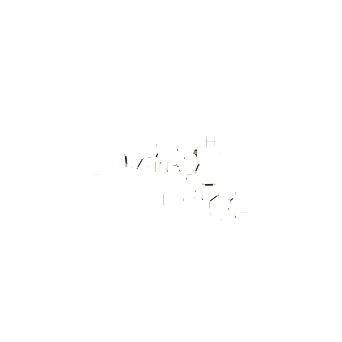 C=C/C=C(\N=C(/N)NC(=O)c1cc(C)cs1)c1cc2c(n1C)CCNC2=O